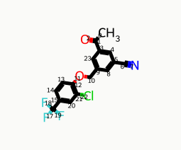 CC(=O)c1cc(C#N)cc(COc2ccc(C(F)(F)F)cc2Cl)c1